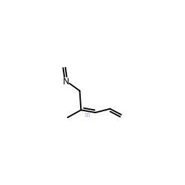 C=C/C=C(/C)CN=C